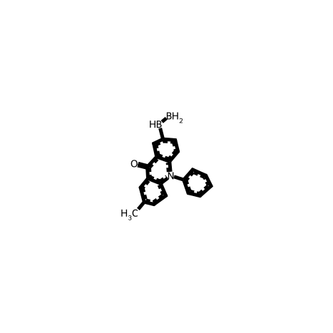 BBc1ccc2c(c1)c(=O)c1cc(C)ccc1n2-c1ccccc1